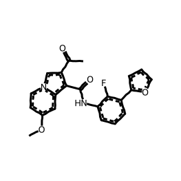 COc1ccn2cc(C(C)=O)c(C(=O)Nc3cccc(-c4ccco4)c3F)c2c1